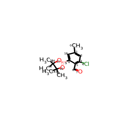 Cc1cc(Cl)c(C=O)c(B2OC(C)(C)C(C)(C)O2)c1